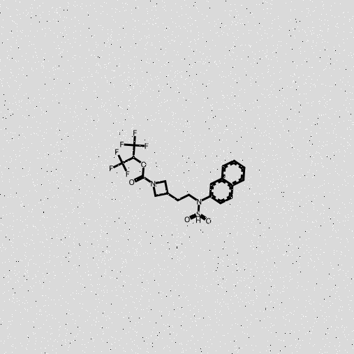 O=C(OC(C(F)(F)F)C(F)(F)F)N1CC(CCN(c2ccc3ccccc3c2)[SH](=O)=O)C1